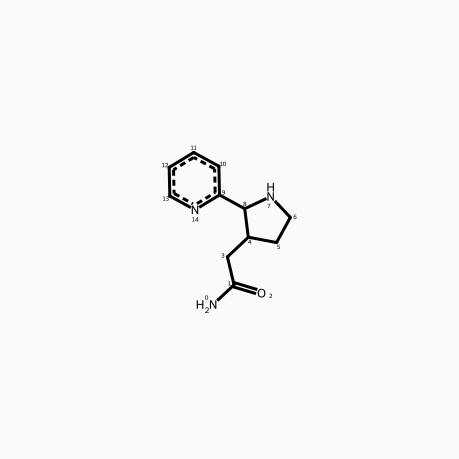 NC(=O)CC1CCNC1c1ccccn1